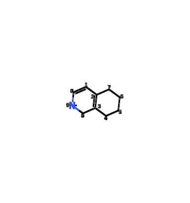 C1=CC2=C(CCCC2)C[N]1